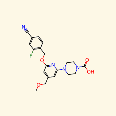 COCc1cc(OCc2ccc(C#N)cc2F)nc(N2CCN(C(=O)O)CC2)c1